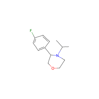 CC(C)N1CCOCC1c1ccc(F)cc1